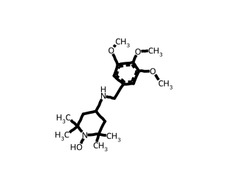 COc1cc(CNC2CC(C)(C)N(O)C(C)(C)C2)cc(OC)c1OC